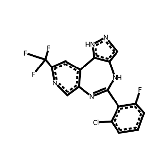 Fc1cccc(Cl)c1C1=Nc2cnc(C(F)(F)F)cc2-c2[nH]ncc2N1